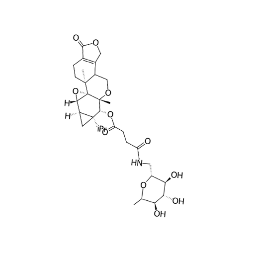 CC1O[C@H](CNC(=O)CCC(=O)O[C@@H]2[C@@]3(C(C)C)C[C@H]3[C@@H]3O[C@@]34[C@@]3(C)CCC5=C(COC5=O)C3CO[C@]24C)[C@@H](O)[C@H](O)[C@H]1O